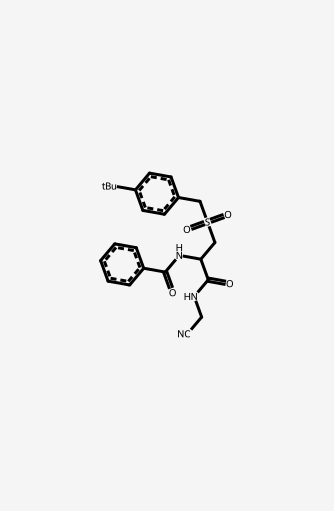 CC(C)(C)c1ccc(CS(=O)(=O)CC(NC(=O)c2ccccc2)C(=O)NCC#N)cc1